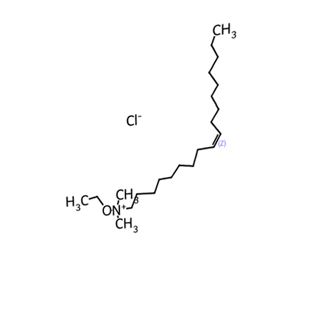 CCCCCCCC/C=C\CCCCCCCC[N+](C)(C)OCC.[Cl-]